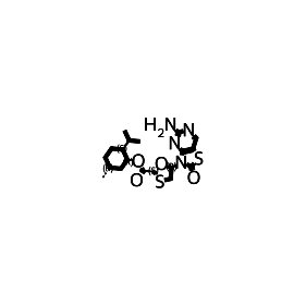 CC(C)[C@@H]1CC[C@@H](C)C[C@H]1OC(=O)[C@H]1O[C@@H](n2c(=O)sc3cnc(N)nc32)CS1